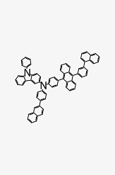 c1ccc(-n2c3ccccc3c3cc(N(c4ccc(-c5ccc6ccccc6c5)cc4)c4ccc(-c5c6ccccc6c(-c6cccc(-c7cccc8ccccc78)c6)c6ccccc56)cc4)ccc32)cc1